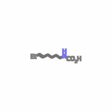 CCC=CCCCCNC(=O)O